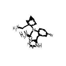 NCc1ccccc1N(C(N)=O)c1ccc(Br)cc1-c1nnn[nH]1